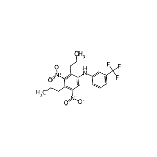 CCCc1c(Nc2cccc(C(F)(F)F)c2)cc([N+](=O)[O-])c(CCC)c1[N+](=O)[O-]